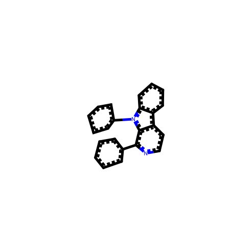 c1ccc(-c2nccc3c4ccccc4n(-c4ccccc4)c23)cc1